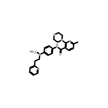 Cc1ccc(C(=O)Nc2ccc(N(CCc3ccccn3)C(=O)O)cc2)c(N2CCOCC2)n1